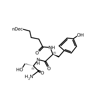 CCCCCCCCCCCCCC(=O)N[C@@H](Cc1ccc(O)cc1)C(=O)N[C@@H](CO)C(N)=O